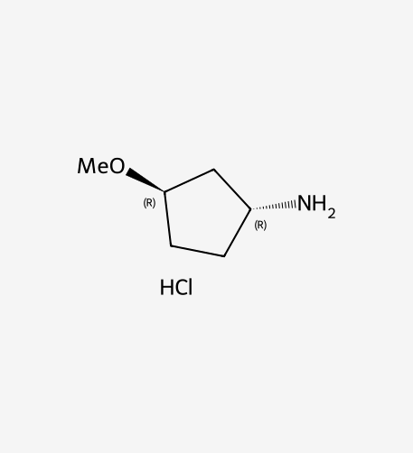 CO[C@@H]1CC[C@@H](N)C1.Cl